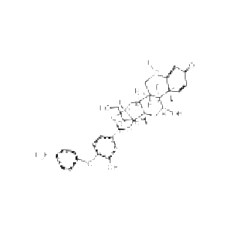 C[C@]12C=CC(=O)C=C1[C@@H](F)C[C@H]1[C@@H]3C[C@H]4O[C@@H](c5ccc(Oc6ccc(N)cc6)c(O)c5)O[C@@]4(C(=O)CO)[C@@]3(C)C[C@H](O)[C@@]12F